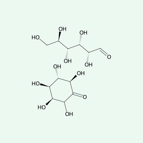 O=C1C(O)[C@@H](O)[C@@H](O)[C@H](O)[C@H]1O.O=C[C@H](O)[C@@H](O)[C@H](O)[C@H](O)CO